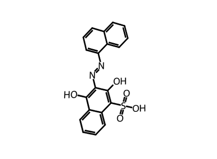 O=S(=O)(O)c1c(O)c(N=Nc2cccc3ccccc23)c(O)c2ccccc12